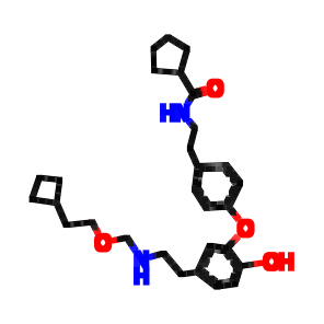 O=C(NCCc1ccc(Oc2cc(CCNCOCCC3CCC3)ccc2O)cc1)C1CCCC1